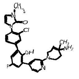 Cn1ccn(-c2ccc(-c3cc(F)cc(-c4ccnc(N5CCC(C)(N)CC5)c4)c3O)cc2Cl)c1=O